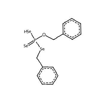 [Se]=P([SeH])(OCc1ccccc1)[Se]Cc1ccccc1